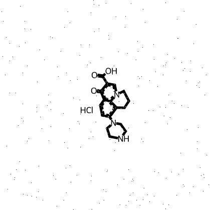 Cl.O=C(O)c1cn2c3c(c(N4CCNCC4)ccc3c1=O)CCC2